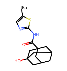 CC(C)(C)c1cnc(NC(=O)C23CC4CC(CC(O)(C4)C2)C3)s1